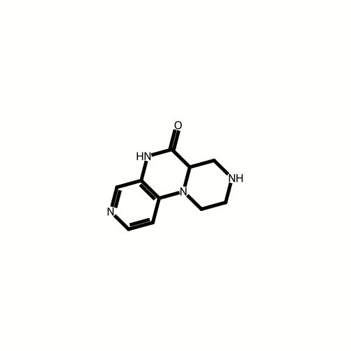 O=C1Nc2cnccc2N2CCNCC12